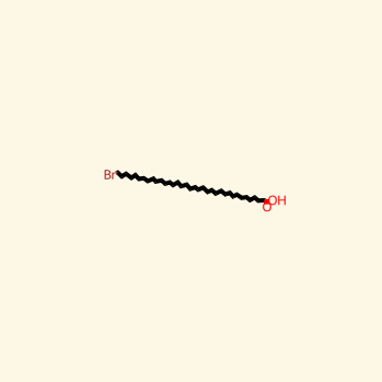 O=C(O)CCCCCCCCCCCCCCCCCCCCCCCCCCCCCCCCCCCBr